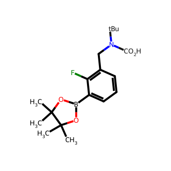 CC(C)(C)N(Cc1cccc(B2OC(C)(C)C(C)(C)O2)c1F)C(=O)O